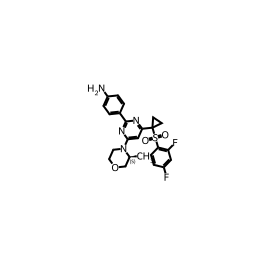 C[C@H]1COCCN1c1cc(C2(S(=O)(=O)c3ccc(F)cc3F)CC2)nc(-c2ccc(N)cc2)n1